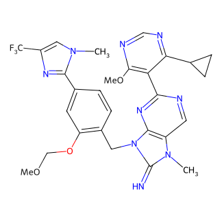 COCOc1cc(-c2nc(C(F)(F)F)cn2C)ccc1Cn1c(=N)n(C)c2cnc(-c3c(OC)ncnc3C3CC3)nc21